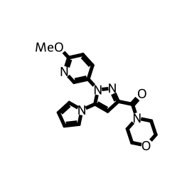 COc1ccc(-n2nc(C(=O)N3CCOCC3)cc2-n2cccc2)cn1